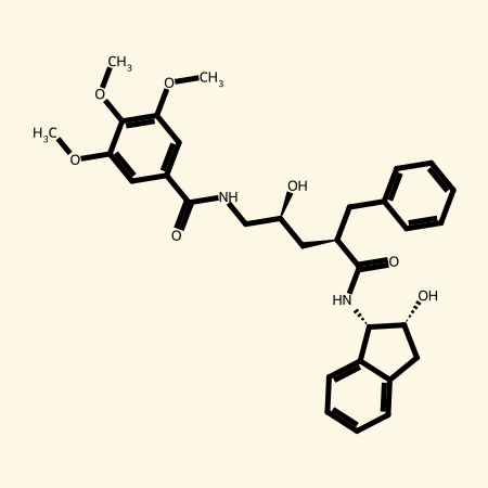 COc1cc(C(=O)NC[C@@H](O)C[C@@H](Cc2ccccc2)C(=O)N[C@H]2c3ccccc3C[C@H]2O)cc(OC)c1OC